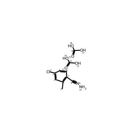 Cc1cc(Cl)ccc1C#N.N.O=C(O)O.O=C(O)O